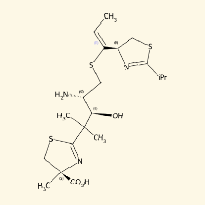 C/C=C(/SC[C@@H](N)[C@@H](O)C(C)(C)C1=N[C@@](C)(C(=O)O)CS1)[C@H]1CSC(C(C)C)=N1